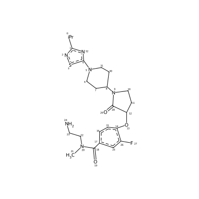 CC(C)c1nsc(N2CCC(N3CCC(Oc4ccc(C(=O)N(C)CCN)cc4F)C3=O)CC2)n1